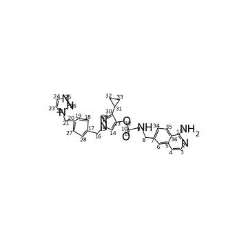 Nc1nccc2cc(CNC(=O)Oc3cn(Cc4ccc(Cn5ccnn5)cc4)nc3C3CC3)ccc12